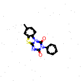 Cc1ccc2c(c1)sc1nc(=O)n(-c3ccccc3)c(=O)n12